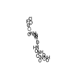 O=C1CCC(N2Cc3c(NC(=O)CNCCOCCn4cc(CNC(=O)[C@H]5CC[C@H](Oc6cccc(Cl)c6F)CC5)nn4)cccc3C2=O)C(=O)N1